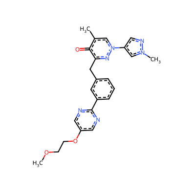 COCCOc1cnc(-c2cccc(Cc3nn(-c4cnn(C)c4)cc(C)c3=O)c2)nc1